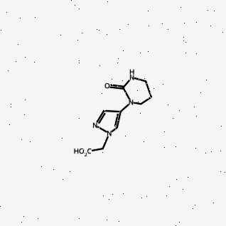 O=C(O)Cn1cc(N2CCCNC2=O)cn1